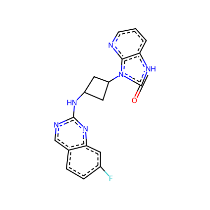 O=c1[nH]c2cccnc2n1C1CC(Nc2ncc3ccc(F)cc3n2)C1